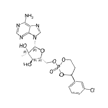 C[C@@]1(O)[C@H](O)[C@@H](COP2(=O)OCCC(c3cccc(Cl)c3)O2)O[C@H]1n1cnc2c(N)ncnc21